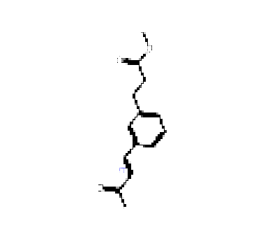 COC(=O)CCc1cccc(/C=C/C(C)=O)c1